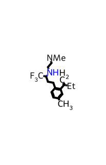 C=C(CC)c1cc(C)ccc1CCC(NCCNC)C(F)(F)F